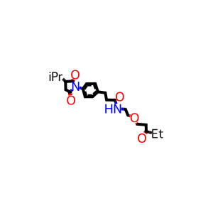 CCC(=O)CCOCCNC(=O)CCc1ccc(N2C(=O)CC(C(C)C)C2=O)cc1